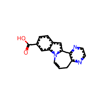 O=C(O)c1ccc2cc3n(c2c1)C=CCc1nccnc1-3